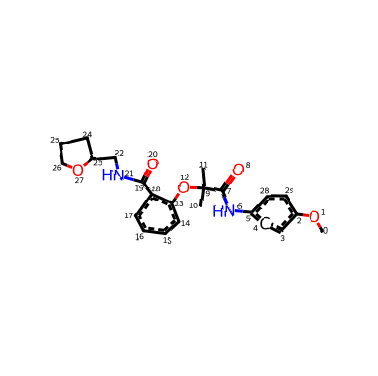 COc1ccc(NC(=O)C(C)(C)Oc2ccccc2C(=O)NCC2CCCO2)cc1